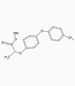 CCCCOC(=O)C(C)Oc1ccc(Oc2ccc(C(F)(F)F)cc2)cc1